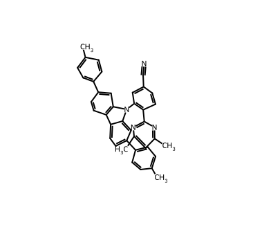 Cc1ccc(-c2ccc3c4ccc(-c5ccc(C)cc5)cc4n(-c4cc(C#N)ccc4-c4nc(C)cc(C)n4)c3c2)cc1